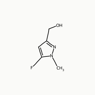 Cn1nc(CO)cc1F